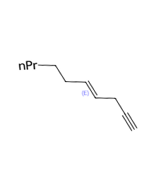 C#CC/C=C/CCCCC